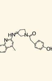 Cc1ccc2nc(N[C@H]3CCN(C(=O)Cc4ccc(O)cc4)C3)cc(C)c2c1